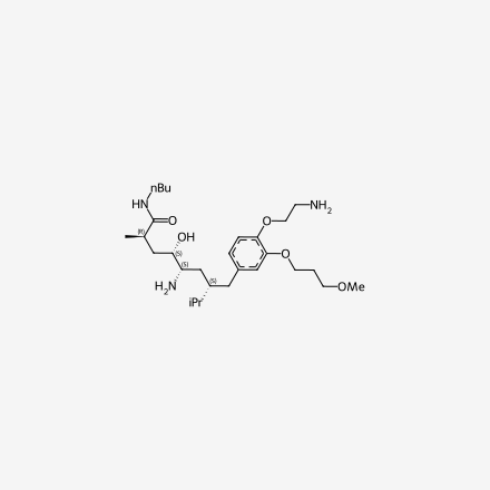 CCCCNC(=O)[C@H](C)C[C@H](O)[C@@H](N)C[C@H](Cc1ccc(OCCN)c(OCCCOC)c1)C(C)C